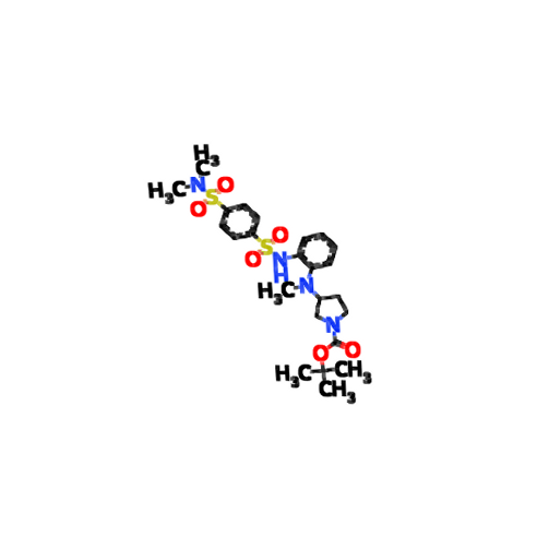 CN(c1ccccc1NS(=O)(=O)c1ccc(S(=O)(=O)N(C)C)cc1)C1CCN(C(=O)OC(C)(C)C)C1